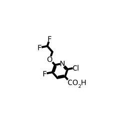 O=C(O)c1cc(F)c(OCC(F)F)nc1Cl